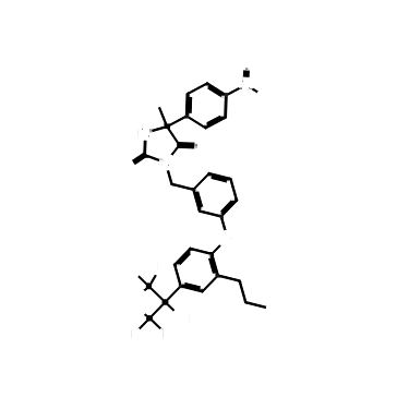 CCCc1cc(C(O)(C(F)(F)F)C(F)(F)F)ccc1Oc1cccc(CN2C(=O)NC(C)(c3ccc([N+](=O)[O-])cc3)C2=O)c1